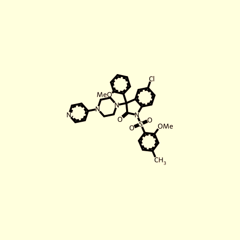 COc1ccccc1C1(N2CCN(c3ccncc3)CC2)C(=O)N(S(=O)(=O)c2ccc(C)cc2OC)c2ccc(Cl)cc21